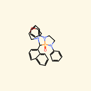 O=P1(C(c2cccc3ccccc23)N2CCOCC2)N(c2ccccc2)CCN1c1ccccc1